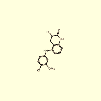 CCN1Cc2c(Nc3ccc(Cl)c(OC)c3)ccnc2NC1=O